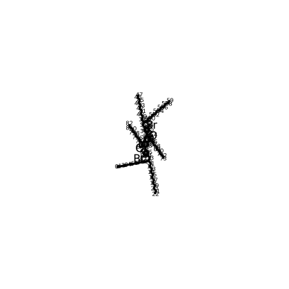 C#CC#CC#CC#CC#CC(CCCCCCCCCCCC)Cc1cc(-c2cc3c(cc(-c4cc(CC(CCCCCCCCCC)CCCCCCCCCCCC)c(Br)s4)c(=O)n3CCCCCCCC)n(CCCCCCCC)c2=O)sc1Br